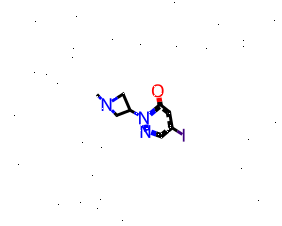 CN1CC(n2ncc(I)cc2=O)C1